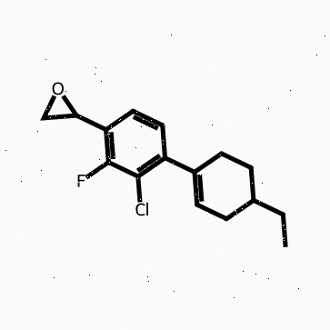 CCC1CC=C(c2ccc(C3CO3)c(F)c2Cl)CC1